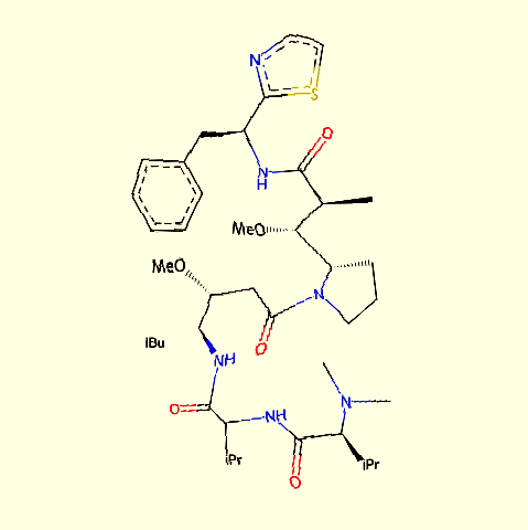 CC[C@H](C)[C@H](NC(=O)C(NC(=O)[C@H](C(C)C)N(C)C)C(C)C)[C@@H](CC(=O)N1CCC[C@H]1[C@H](OC)[C@H](C)C(=O)N[C@@H](Cc1ccccc1)c1nccs1)OC